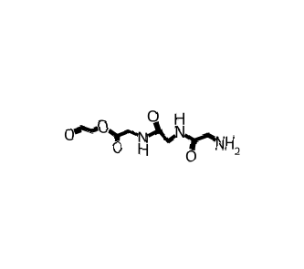 NCC(=O)NCC(=O)NCC(=O)OCC=O